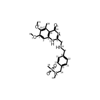 COc1cc2[nH]c(CNCc3ccc(CN(C)S(C)(=O)=O)cc3)nc(=O)c2c(C)c1OC